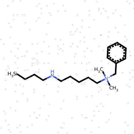 C[N+](C)(CCCCCNCCC[SiH3])Cc1ccccc1